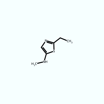 CCc1ncc(NC)s1